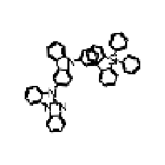 c1ccc([Si](c2ccccc2)(c2ccccc2)c2ccccc2-c2cccc(-n3c4ccccc4c4cc(-n5c6ccccc6n6c7ccccc7nc56)ccc43)c2)cc1